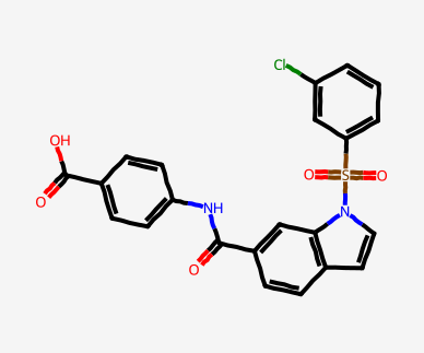 O=C(O)c1ccc(NC(=O)c2ccc3ccn(S(=O)(=O)c4cccc(Cl)c4)c3c2)cc1